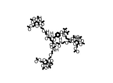 CC(=O)NC1C(OCCOCCNC(=O)C(CCC(=O)N(CC(=O)NCCOCCOC2OC(COC(C)=O)C(OC(C)=O)C(OC(C)O)C2NC(C)=O)CC(=O)NCCOCCOC2(NC(C)=O)COC(COC(C)=O)C(OC(C)=O)C2OC(C)=O)NC(=O)c2ccc(OP(OCCC#N)N(C(C)C)C(C)C)cc2)OC(COC(C)=O)C(OC(C)=O)C1OC(C)=O